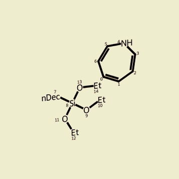 C1=CC=CNC=C1.CCCCCCCCCC[Si](OCC)(OCC)OCC